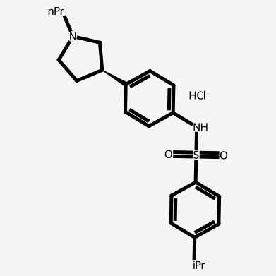 CCCN1CC[C@H](c2ccc(NS(=O)(=O)c3ccc(C(C)C)cc3)cc2)C1.Cl